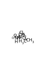 Cc1cc(NC(=O)C2CCC2)nn1Cc1cc(Cl)ccc1OCC(C)C